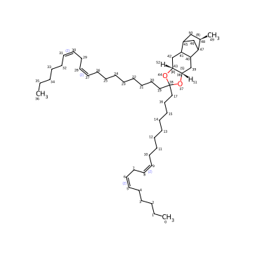 CCCCC/C=C\C/C=C\CCCCCCCCC1(CCCCCCCC/C=C\C/C=C\CCCCC)O[C@H]2CC3C(C[C@H]2O1)C1CC3[C@H](C)C1